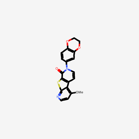 COc1ccnc2sc3c(=O)n(-c4ccc5c(c4)OCCO5)ccc3c12